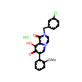 COc1ccccc1-c1cn2ccn(Cc3cccc(Cl)c3)c(=O)c2c(O)c1=O.Cl